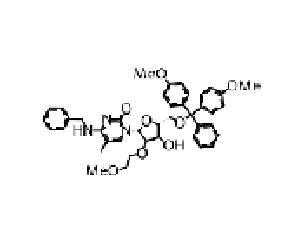 COCCO[C@@H]1[C@H](O)[C@@H](COC(c2ccccc2)(c2ccc(OC)cc2)c2ccc(OC)cc2)O[C@H]1n1cc(C)c(NCc2ccccc2)nc1=O